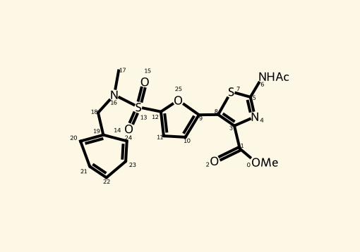 COC(=O)c1nc(NC(C)=O)sc1-c1ccc(S(=O)(=O)N(C)Cc2ccccc2)o1